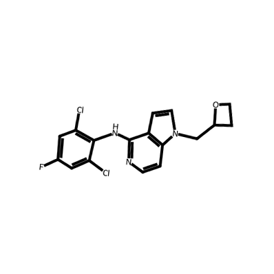 Fc1cc(Cl)c(Nc2nccc3c2ccn3CC2CCO2)c(Cl)c1